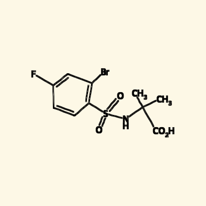 CC(C)(NS(=O)(=O)c1ccc(F)cc1Br)C(=O)O